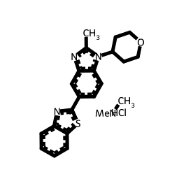 CNC.Cc1nc2cc(-c3nc4ccccc4s3)ccc2n1C1CCOCC1.Cl